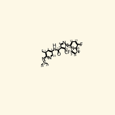 Cc1cc(NC(=O)c2cnn(-c3ccc(F)c4nccn34)c2C(F)(F)F)cnc1N=S(C)C